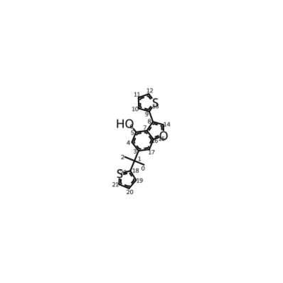 CC(C)(c1cc(O)c2c(-c3cccs3)coc2c1)c1cccs1